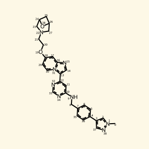 Cn1cc(-c2ccc(CNc3cc(-c4cnc5cc(OCCN6CC7CC(C6)O7)ccn45)ncn3)cc2)cn1